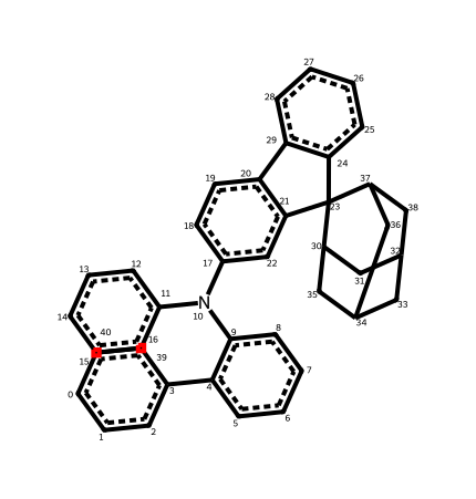 c1ccc(-c2ccccc2N(c2ccccc2)c2ccc3c(c2)C2(c4ccccc4-3)C3CC4CC(C3)CC2C4)cc1